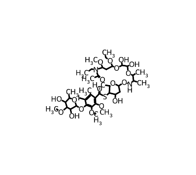 CCOC(CC(OC)N(CC)C(C)=O)OC(O)C(O)OC(C)C(C)NOC1CC(O)C(SC(=O)c2c(C)c(I)c(OC3OC(C)C(O)C(OC)C3O)c(OC)c2OC)C(C)O1